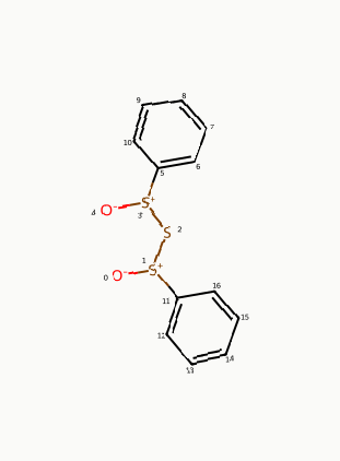 [O-][S+](S[S+]([O-])c1ccccc1)c1ccccc1